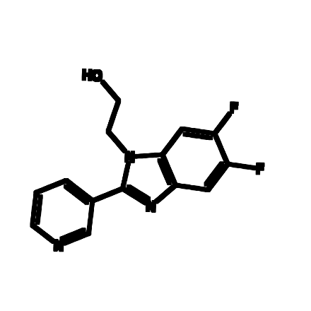 OCCn1c(-c2cccnc2)nc2cc(F)c(F)cc21